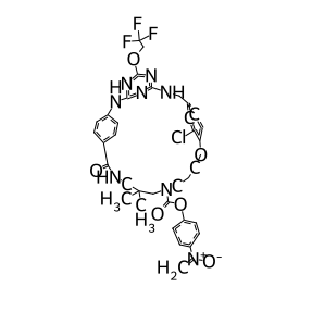 C=[N+]([O-])c1ccc(OC(=O)N2CCCOc3ccc(cc3Cl)CNc3nc(nc(OCC(F)(F)F)n3)Nc3ccc(cc3)C(=O)NCC(C)(C)C2)cc1